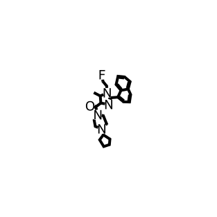 CC1C(C(=O)N2CCN(C3CCCC3)CC2)N=C(c2cccc3ccccc23)N1CCF